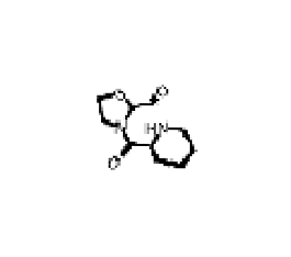 O=[C][C@@H]1SCCN1C(=O)[C@@H]1CCCCN1